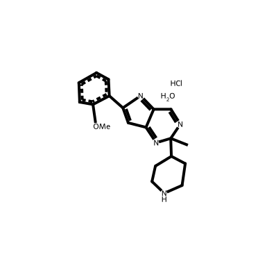 COc1ccccc1C1=CC2=NC(C)(C3CCNCC3)N=CC2=N1.Cl.O